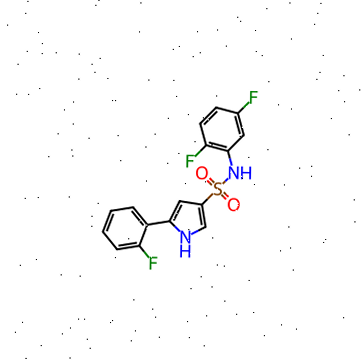 O=S(=O)(Nc1cc(F)ccc1F)c1c[nH]c(-c2ccccc2F)c1